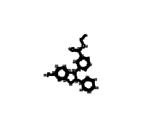 CCOC(=O)c1cccc(N2c3ccc(F)cc3CC2c2ccccc2)c1